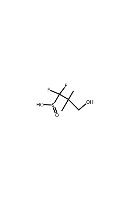 CC(C)(CO)C(F)(F)S(=O)O